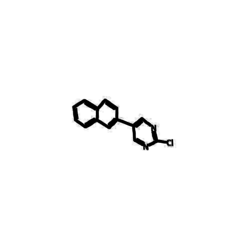 Clc1ncc(-c2ccc3ccccc3c2)cn1